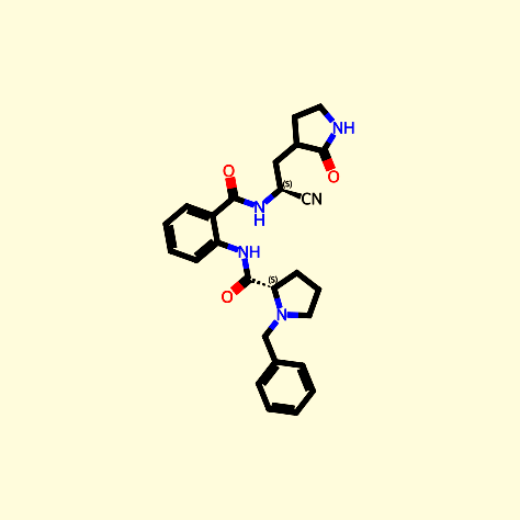 N#C[C@H](CC1CCNC1=O)NC(=O)c1ccccc1NC(=O)[C@@H]1CCCN1Cc1ccccc1